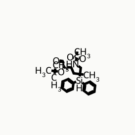 CC(C)(C)ON(C=O)CCC(C)(CNS(C)(=O)=O)[SiH](c1ccccc1)c1ccccc1